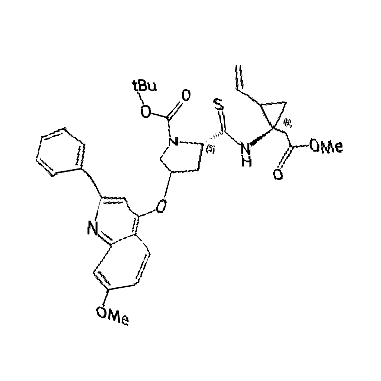 C=CC1C[C@]1(NC(=S)[C@@H]1CC(Oc2cc(-c3ccccc3)nc3cc(OC)ccc23)CN1C(=O)OC(C)(C)C)C(=O)OC